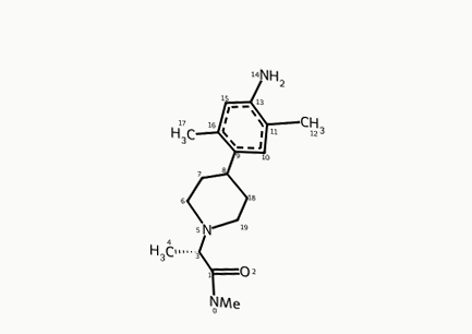 CNC(=O)[C@H](C)N1CCC(c2cc(C)c(N)cc2C)CC1